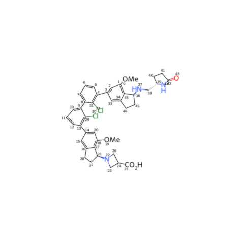 COc1cc(-c2cccc(-c3cccc(-c4cc5c(c(OC)c4)[C@@H](N4CC(C(=O)O)C4)CC5)c3Cl)c2Cl)cc2c1[C@@H](NC[C@@H]1CCC(=O)N1)CC2